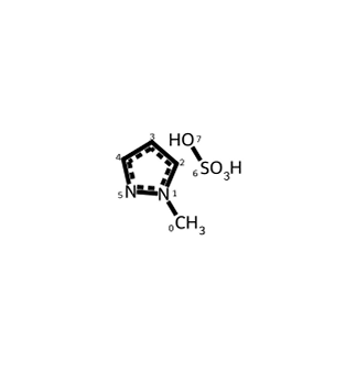 Cn1cccn1.O=S(=O)(O)O